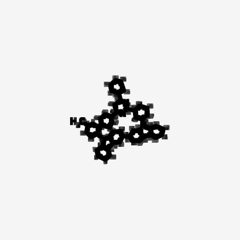 Cc1ccc(-n2c3ccccc3c3cc(-c4ccc5c6ccccc6n(-c6cccc(-c7nc(-c8ccccc8)cc(-c8ccccc8)n7)c6)c5c4)ccc32)cc1